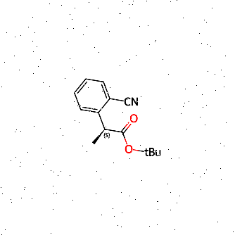 C[C@H](C(=O)OC(C)(C)C)c1ccccc1C#N